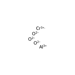 [Al+3].[Cr+3].[O-2].[O-2].[O-2]